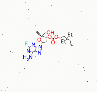 C#C[C@]1(CO)O[C@@H](n2cnc3c(N)nc(F)nc32)C[C@@H]1OC(=O)OCCC(CC)(CC)CC=C